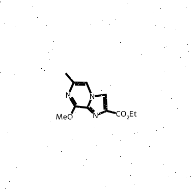 CCOC(=O)c1cn2cc(C)nc(OC)c2n1